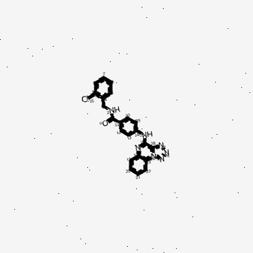 O=C(NCc1ccccc1Cl)c1ccc(Nc2nc3ccccc3n3nnnc23)cc1